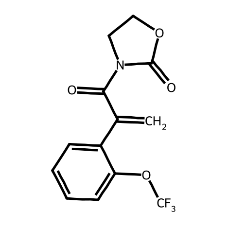 C=C(C(=O)N1CCOC1=O)c1ccccc1OC(F)(F)F